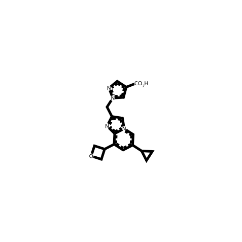 O=C(O)c1cnn(Cc2cn3cc(C4CC4)cc(C4COC4)c3n2)c1